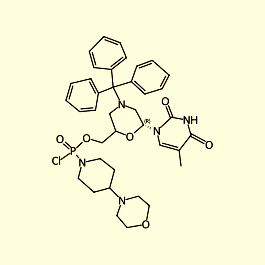 Cc1cn([C@H]2CN(C(c3ccccc3)(c3ccccc3)c3ccccc3)CC(COP(=O)(Cl)N3CCC(N4CCOCC4)CC3)O2)c(=O)[nH]c1=O